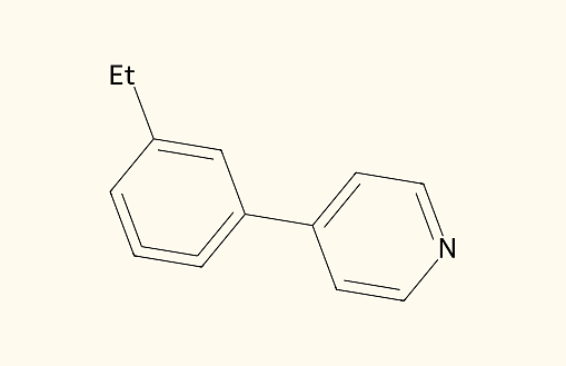 CCC1=CC(c2ccncc2)=C=C=C1